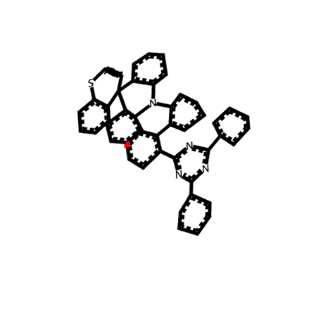 c1ccc(-c2nc(-c3ccccc3)nc(-c3ccccc3-c3ccccc3N3c4ccccc4C4(c5ccccc5Sc5ccccc54)c4ccccc43)n2)cc1